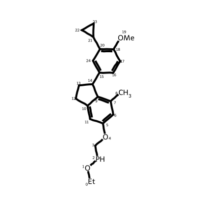 CCOPCOc1cc(C)c2c(c1)CCC2c1ccc(OC)c(C2CC2)c1